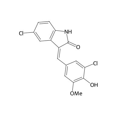 COc1cc(C=C2C(=O)Nc3ccc(Cl)cc32)cc(Cl)c1O